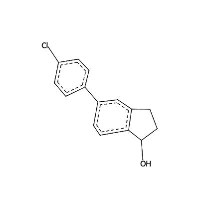 OC1CCc2cc(-c3ccc(Cl)cc3)ccc21